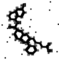 O=C(O)CCCCc1nc2cc(C(=O)NC3CCCc4cc(Cl)ccc43)ccc2nc1-c1ccccc1